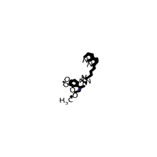 CCOC(=O)/C=C(/Cn1nnc(CCCc2ccc3cccnc3n2)n1)c1ccc2c(c1)OCO2